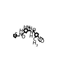 Cc1cc(C(=O)Nc2n[nH]c3ccc(C(=O)NCc4cccs4)cc23)ccc1N1CCOCC1